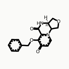 O=C1N[C@H]2COCC2n2ccc(=O)c(OCc3ccccc3)c21